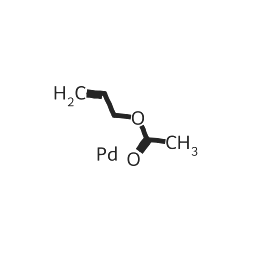 C=CCOC(C)=O.[Pd]